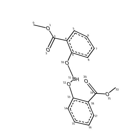 COC(=O)c1ccccc1OBOc1ccccc1C(=O)OC